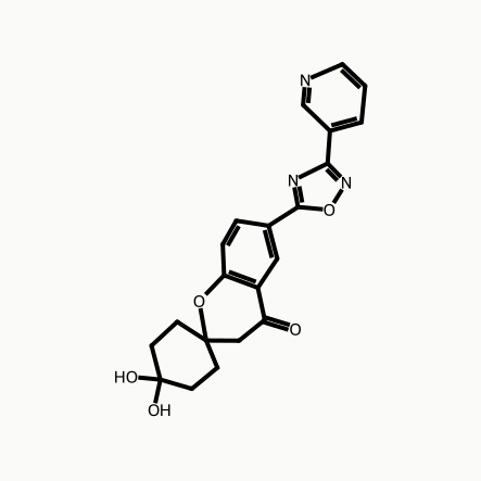 O=C1CC2(CCC(O)(O)CC2)Oc2ccc(-c3nc(-c4cccnc4)no3)cc21